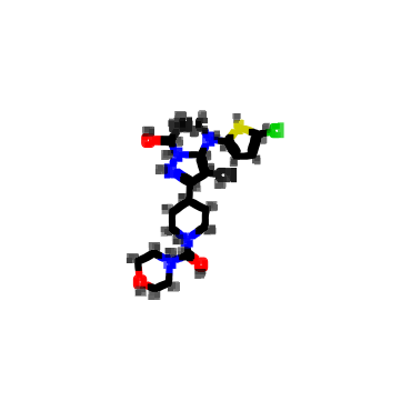 CN(c1ccc(Cl)s1)c1c(C#N)c(C2CCN(C(=O)N3CCOCC3)CC2)nn1C(=O)C(C)(C)C